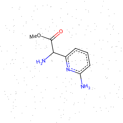 COC(=O)C(N)c1cccc(N)n1